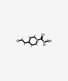 CC(C)NC(=O)N1CCC(CC[O])CC1